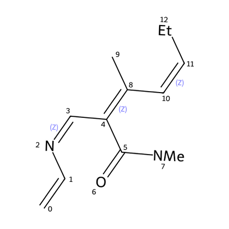 C=C\N=C/C(C(=O)NC)=C(C)/C=C\CC